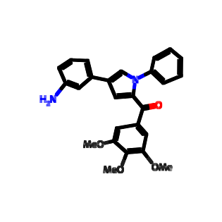 COc1cc(C(=O)c2cc(-c3cccc(N)c3)cn2-c2ccccc2)cc(OC)c1OC